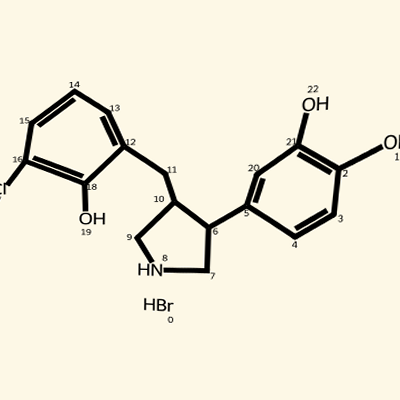 Br.Oc1ccc(C2CNCC2Cc2cccc(Cl)c2O)cc1O